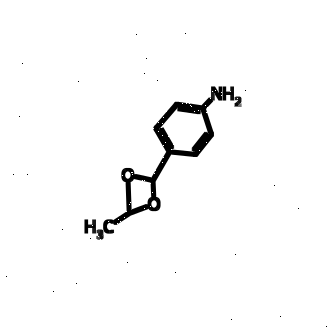 CC1OC(c2ccc(N)cc2)O1